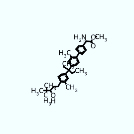 CCC(CC)(c1ccc(CCC(O)C(C)(C)C)c(C)c1)c1ccc(-c2ccc([C@H](N)C(=O)OC)cc2)c(C)c1